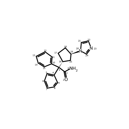 NC(=O)C(c1ccccc1)(c1ccccc1)[C@@H]1CC[C@@H](n2ccnc2)C1